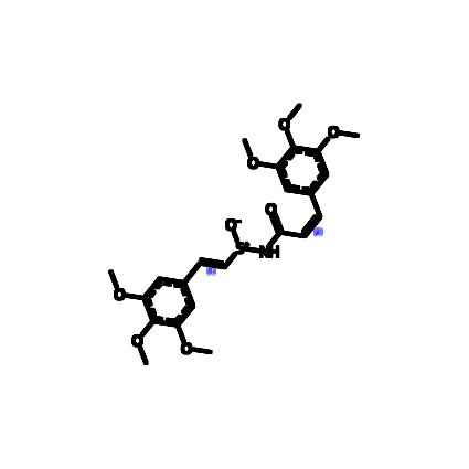 COc1cc(/C=C\C(=O)N[S+]([O-])/C=C/c2cc(OC)c(OC)c(OC)c2)cc(OC)c1OC